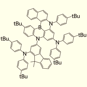 CC(C)(C)c1ccc(N(c2ccc(C(C)(C)C)cc2)c2cc3c4c(c2)N(c2ccc(C(C)(C)C)cc2)c2ccc5ccccc5c2B4c2cc(C(C)(C)C)ccc2N3c2cc3c(c(N(c4ccc(C(C)(C)C)cc4)c4ccc(C(C)(C)C)cc4)c2)C(C)(C)c2ccccc2-3)cc1